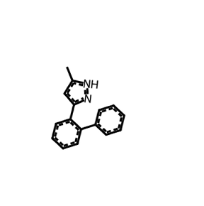 Cc1cc(-c2ccccc2-c2ccccc2)n[nH]1